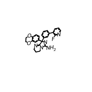 NC1=NC(c2cccc(-c3cccnc3F)c2)(c2ccc3c(c2)OCCO3)C2=NCCCN12